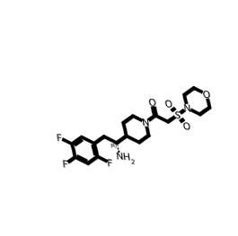 N[C@H](Cc1cc(F)c(F)cc1F)C1CCN(C(=O)CS(=O)(=O)N2CCOCC2)CC1